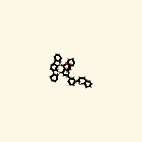 c1ccc(-c2cc(-n3c4ccccc4c4ccc5c6ccccc6n(-c6ccccc6)c5c43)cc(-c3cccc(-c4ccc5ccccc5n4)c3)n2)cc1